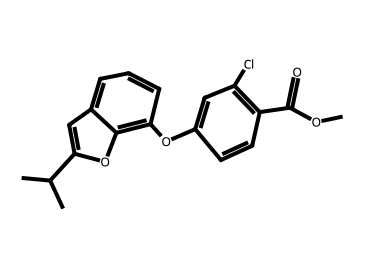 COC(=O)c1ccc(Oc2cccc3cc(C(C)C)oc23)cc1Cl